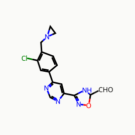 O=CC1NC(c2cc(-c3ccc(CN4CC4)c(Cl)c3)ncn2)=NO1